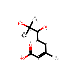 CC(=CC(=O)O)CCC(O)C(C)(C)O